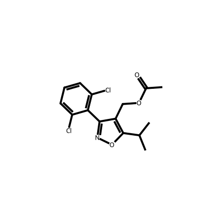 CC(=O)OCc1c(-c2c(Cl)cccc2Cl)noc1C(C)C